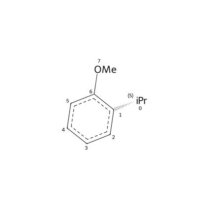 [CH2][C@@H](C)c1ccccc1OC